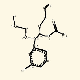 CCCC[C@H](OC(N)=O)[C@@H](OCOC)c1cccc(I)c1